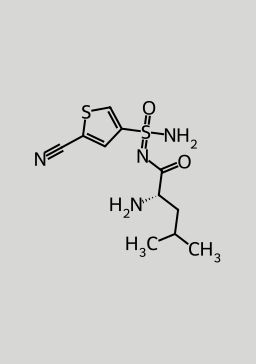 CC(C)C[C@H](N)C(=O)N=S(N)(=O)c1csc(C#N)c1